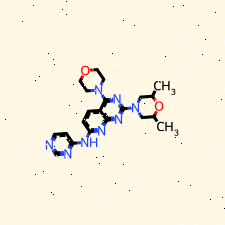 CC1CN(c2nc(N3CCOCC3)c3ccc(Nc4ccncn4)nc3n2)CC(C)O1